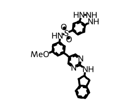 COc1cc(NS(=O)(=O)c2ccc3c(c2)NNN3)cc(-c2cnc(NC3Cc4ccccc4C3)nc2)c1